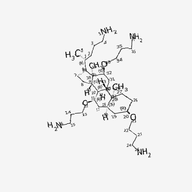 C[C@H](CCCN)[C@H]1CC[C@H]2[C@@H]3[C@H](OCCCN)C[C@@H]4C[C@H](OCCCN)CC[C@]4(C)[C@H]3C[C@H](OCCCN)[C@]12C